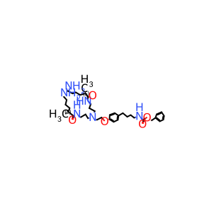 C[C@@H](CCCCN)C(=O)NCCCN(CCCNC(=O)[C@@H](C)CCCCN)CCOc1ccc(CCCCNC(=O)OCc2ccccc2)cc1